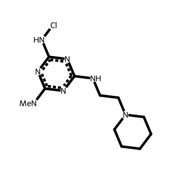 CNc1nc(NCl)nc(NCCN2CCCCC2)n1